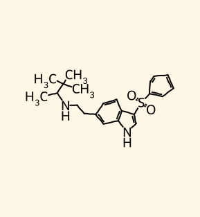 CC(NCCc1ccc2c(S(=O)(=O)c3ccccc3)c[nH]c2c1)C(C)(C)C